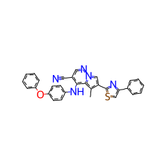 Cc1c(-c2nc(-c3ccccc3)cs2)cn2ncc(C#N)c(Nc3ccc(Oc4ccccc4)cc3)c12